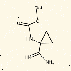 CC(C)(C)OC(=O)NC1(C(=N)N)CC1